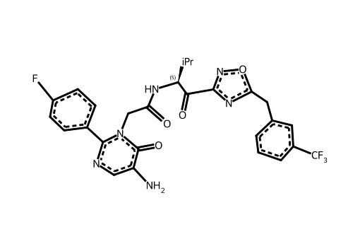 CC(C)[C@H](NC(=O)Cn1c(-c2ccc(F)cc2)ncc(N)c1=O)C(=O)c1noc(Cc2cccc(C(F)(F)F)c2)n1